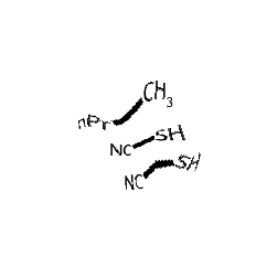 CCCC.N#CS.N#CS